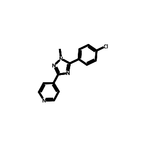 Cn1nc(-c2ccncc2)nc1-c1ccc(Cl)cc1